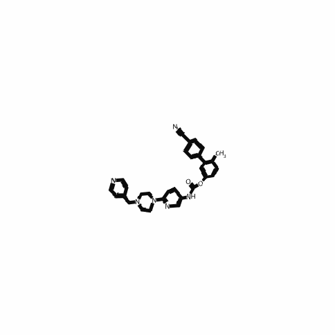 Cc1ccc(OC(=O)Nc2ccc(N3CCN(Cc4ccncc4)CC3)nc2)cc1-c1ccc(C#N)cc1